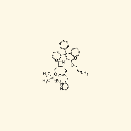 C=CCOC(=O)C(N1C(=O)[C@H](CO[Si](C)(C)C(C)(C)C)[C@H]1SC(=O)Cn1ccnn1)=P(c1ccccc1)(c1ccccc1)c1ccccc1